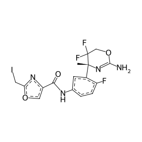 C[C@]1(c2cc(NC(=O)c3coc(CI)n3)ccc2F)N=C(N)OCC1(F)F